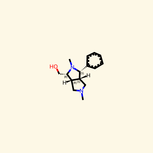 CN1C[C@@H]2[C@H](C1)[C@H](CO)N(C)[C@@H]2c1ccccc1